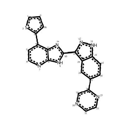 c1csc(-c2ccnc3[nH]c(-c4n[nH]c5ccc(-c6cnccn6)cc45)nc23)c1